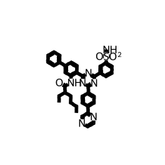 CCCCC(CC)C(=O)Nc1cc(-c2ccccc2)ccc1-c1nc(-c2ccc(-c3cnccn3)cc2)nc(-c2cccc(S(N)(=O)=O)c2)n1